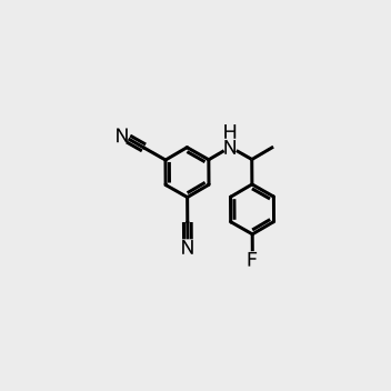 CC(Nc1cc(C#N)cc(C#N)c1)c1ccc(F)cc1